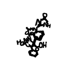 CC(C)OC(=O)N(N)[C@](C(=O)O)(C(=C=O)c1ccccc1)c1cccc(NC2=NC(=O)CN2)c1